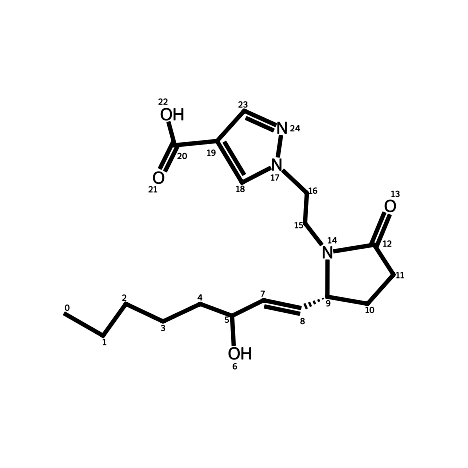 CCCCCC(O)/C=C/[C@H]1CCC(=O)N1CCn1cc(C(=O)O)cn1